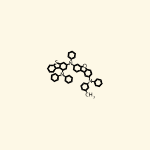 Cc1cccc(N(c2ccccc2)c2ccc3oc4cc(N(c5ccccc5)c5cc(N(c6ccccc6)c6ccccc6)c6c(c5)sc5ccccc56)ccc4c3c2)c1